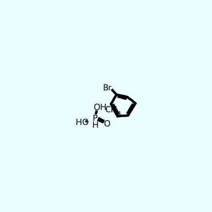 Brc1ccccc1.C.O=[PH](O)O